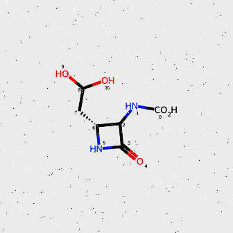 O=C(O)NC1C(=O)N[C@@H]1CC(O)O